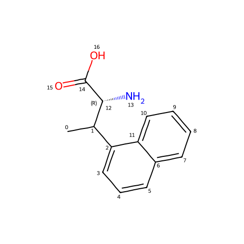 CC(c1cccc2ccccc12)[C@@H](N)C(=O)O